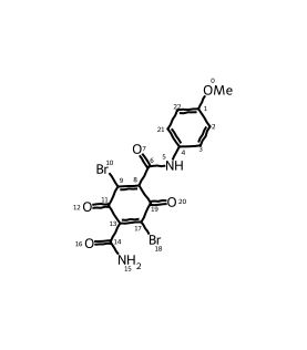 COc1ccc(NC(=O)C2=C(Br)C(=O)C(C(N)=O)=C(Br)C2=O)cc1